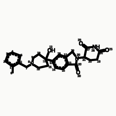 Cc1ccccc1CN1CCC(O)(c2ccc3c(c2)CN(C2CCC(=O)NC2=O)C3=O)CC1